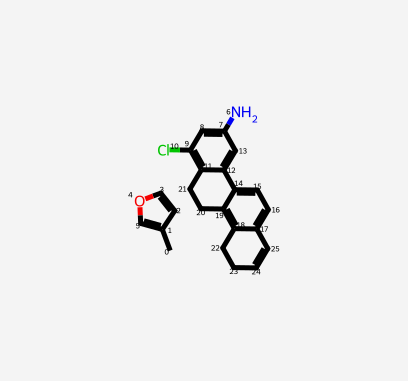 Cc1ccoc1.Nc1cc(Cl)c2c(c1)-c1ccc3c(c1CC2)CCC=C3